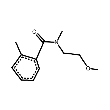 COCCN(C)C(=O)c1ccccc1C